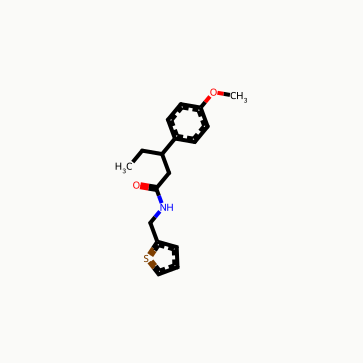 CCC(CC(=O)NCc1cccs1)c1ccc(OC)cc1